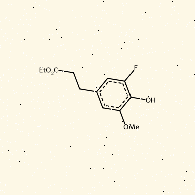 CCOC(=O)CCc1cc(F)c(O)c(OC)c1